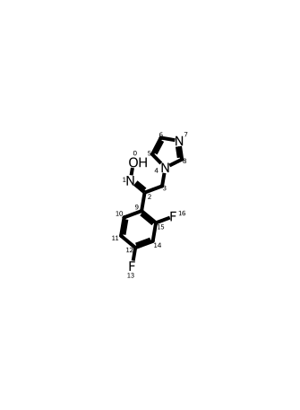 ON=C(Cn1ccnc1)c1ccc(F)cc1F